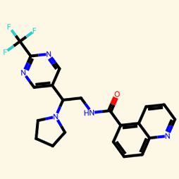 O=C(NCC(c1cnc(C(F)(F)F)nc1)N1CCCC1)c1cccc2ncccc12